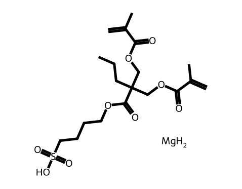 C=C(C)C(=O)OCC(CCC)(COC(=O)C(=C)C)C(=O)OCCCCS(=O)(=O)O.[MgH2]